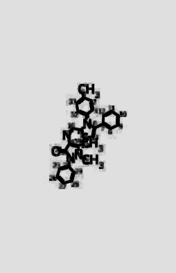 Cc1ccc(N2C(c3ccccc3)=CSC2/C=N\c2c(C)n(C)n(-c3ccccc3)c2=O)cc1